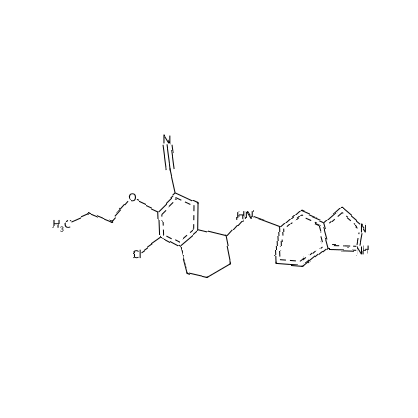 CCCOc1c(C#N)cc2c(c1Cl)CCCC2Nc1ccc2[nH]ncc2c1